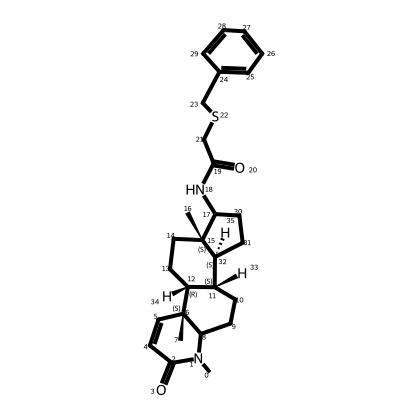 CN1C(=O)C=C[C@@]2(C)C1CC[C@@H]1[C@H]2CC[C@]2(C)C(NC(=O)CSCc3ccccc3)CC[C@@H]12